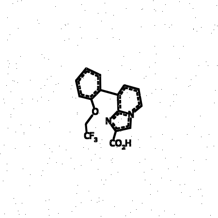 O=C(O)c1cn2cccc(-c3ccccc3OCC(F)(F)F)c2n1